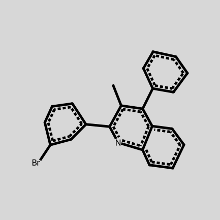 Cc1c(-c2cccc(Br)c2)nc2ccccc2c1-c1ccccc1